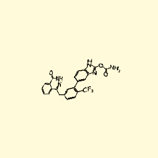 NC(=O)Oc1nc2cc(-c3cc(Cc4n[nH]c(=O)c5ccccc45)ccc3C(F)(F)F)ccc2[nH]1